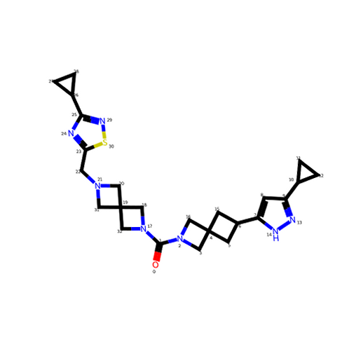 O=C(N1CC2(CC(c3cc(C4CC4)n[nH]3)C2)C1)N1CC2(CN(Cc3nc(C4CC4)ns3)C2)C1